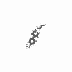 CCCC[n+]1ccc(-c2ccc(Br)cc2)cc1